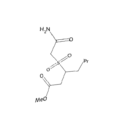 COC(=O)CC(CC(C)C)S(=O)(=O)CC(N)=O